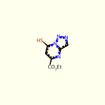 CCOC(=O)c1cc(S)n2nncc2n1